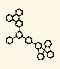 c1ccc(-c2cc(-c3ccc(-c4ccc5c(c4)-c4ccccc4C54c5ccccc5-c5ccccc54)cc3)nc(-c3ccc4c5ccccc5c5ccccc5c4c3)n2)cc1